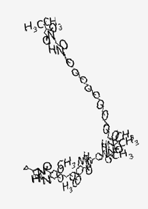 COc1cc2c(cc1OCCCOc1cc3c(cc1OC)C(=O)N1C=C(C4CC4)C[C@H]1C=N3)N=C[C@@H]1CC(c3ccc(NC(=O)[C@H](C)NC(=O)C(NC(=O)CCOCCOCCOCCOCCOCCOCCOCCOCCNC(=O)CCN4C(=O)CC(C(C)C)C4=O)C(C)C)cc3)=CN1C2=O